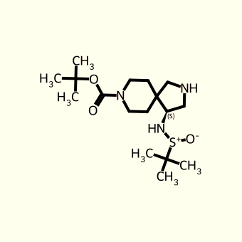 CC(C)(C)OC(=O)N1CCC2(CC1)CNC[C@H]2N[S+]([O-])C(C)(C)C